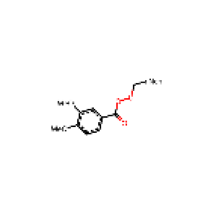 [CH2]CCCCCCCCCOOC(=O)c1ccc(OC)c(OC)c1